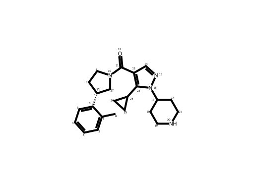 Cc1ccccc1[C@@H]1CCN(C(=O)c2cnn(C3CCNCC3)c2C2CC2)C1